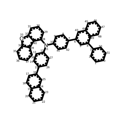 c1ccc(-c2cc(-c3ccc(N(c4ccc(-c5ccc6ccccc6c5)cc4)c4cccc5oc6ccccc6c45)cc3)cc3ccccc23)cc1